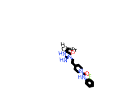 CC(C)CC1(C)NC(=N)N(CCC2CCN(C(=O)Nc3ccccc3F)CC2)C1=O